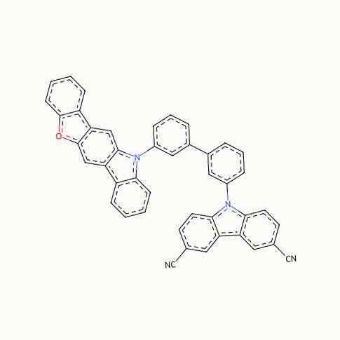 N#Cc1ccc2c(c1)c1cc(C#N)ccc1n2-c1cccc(-c2cccc(-n3c4ccccc4c4cc5oc6ccccc6c5cc43)c2)c1